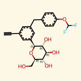 C#Cc1cc(Cc2ccc(OC(F)F)cc2)cc([C@@H]2O[C@H](CO)[C@@H](O)[C@H](O)[C@H]2O)c1